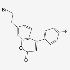 O=c1cc(-c2ccc(F)cc2)c2ccc(CCBr)cc2o1